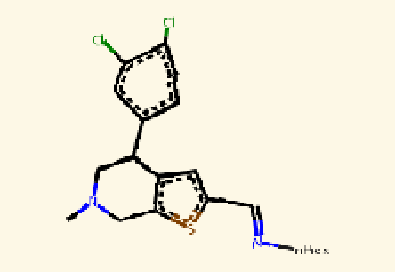 CCCCCCN=Cc1cc2c(s1)CN(C)CC2c1ccc(Cl)c(Cl)c1